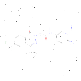 CC1(c2nn(CC(=O)Nc3ccc(=N)n(C=N)c3)c(=O)c3ccc(C(F)(F)F)cc23)CC1